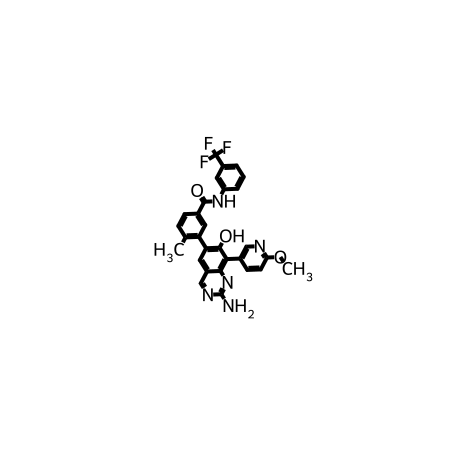 COc1ccc(-c2c(O)c(-c3cc(C(=O)Nc4cccc(C(F)(F)F)c4)ccc3C)cc3cnc(N)nc23)cn1